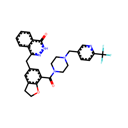 O=C(c1cc(Cc2n[nH]c(=O)c3ccccc23)cc2c1OCC2)N1CCN(Cc2ccc(C(F)(F)F)nc2)CC1